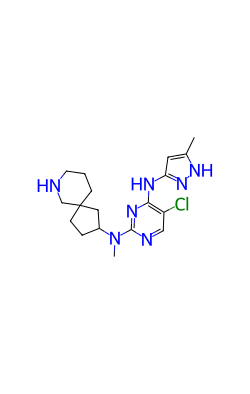 Cc1cc(Nc2nc(N(C)C3CCC4(CCCNC4)C3)ncc2Cl)n[nH]1